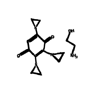 NCCO.O=C1C=C(N2CC2)C(=O)C(N2CC2)=C1N1CC1